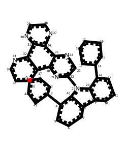 c1ccc(-c2cccc3c4cccc(-c5ccccc5)c4n(-c4cnc5c6nccnc6c6nccnc6c5n4)c23)cc1